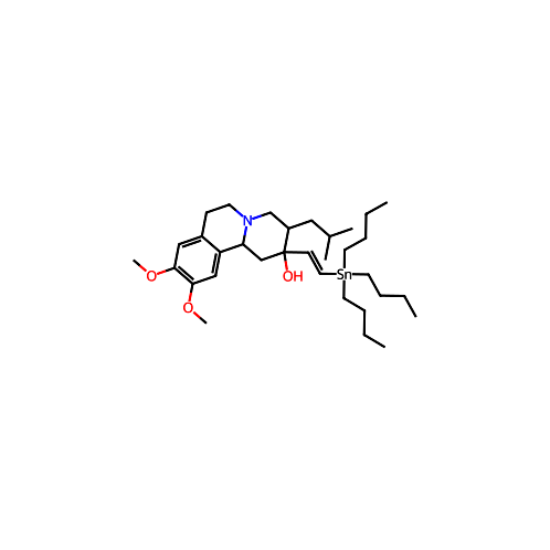 CCC[CH2][Sn](/[CH]=C/C1(O)CC2c3cc(OC)c(OC)cc3CCN2CC1CC(C)C)([CH2]CCC)[CH2]CCC